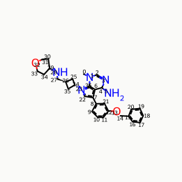 CN1C=NC(N)c2c(-c3cccc(OCc4ccccc4)c3)cn([C@H]3C[C@H](CNC4CCOCC4)C3)c21